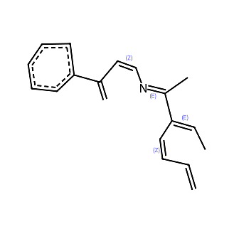 C=C\C=C/C(=C\C)C(/C)=N/C=C\C(=C)c1ccccc1